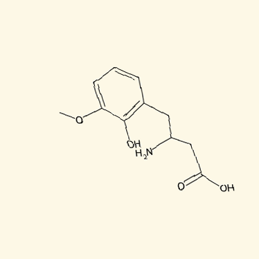 COc1cccc(CC(N)CC(=O)O)c1O